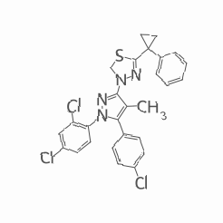 Cc1c(N2CSC(C3(c4ccccc4)CC3)=N2)nn(-c2ccc(Cl)cc2Cl)c1-c1ccc(Cl)cc1